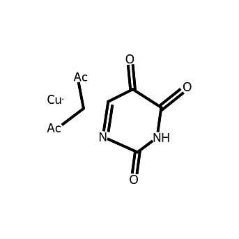 CC(=O)CC(C)=O.O=C1N=CC(=O)C(=O)N1.[Cu]